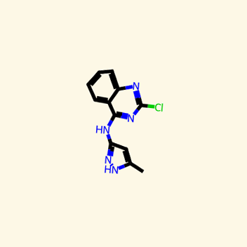 Cc1cc(Nc2nc(Cl)nc3ccccc23)n[nH]1